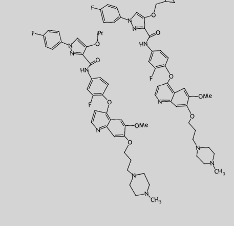 COc1cc2c(Oc3ccc(NC(=O)c4nn(-c5ccc(F)cc5)cc4OC(C)C)cc3F)ccnc2cc1OCCCN1CCN(C)CC1.COc1cc2c(Oc3ccc(NC(=O)c4nn(-c5ccc(F)cc5)cc4OCC4CC4)cc3F)ccnc2cc1OCCCN1CCN(C)CC1